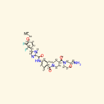 Cc1cc(NC(=O)c2ncc(-c3ccc(OCC#N)c(F)c3F)n2C)ccc1C(=O)N1CCC(C(=O)N2CCO[C@H](CN)C2)CC1